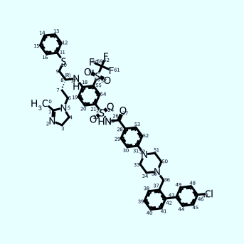 CC1=NCCN1CC[C@H](CSc1ccccc1)Nc1ccc(S(=O)(=O)NC(=O)c2ccc(N3CCN(Cc4ccccc4-c4ccc(Cl)cc4)CC3)cc2)cc1S(=O)(=O)C(F)(F)F